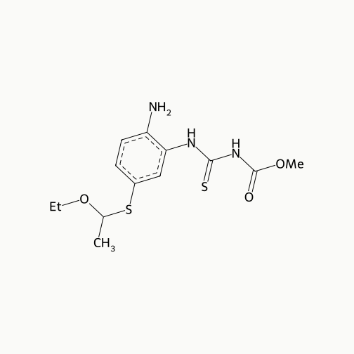 CCOC(C)Sc1ccc(N)c(NC(=S)NC(=O)OC)c1